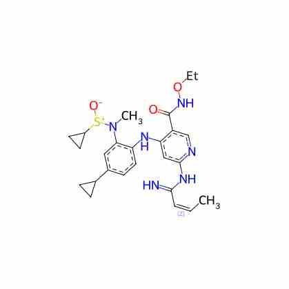 C/C=C\C(=N)Nc1cc(Nc2ccc(C3CC3)cc2N(C)[S+]([O-])C2CC2)c(C(=O)NOCC)cn1